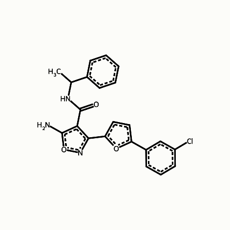 CC(NC(=O)c1c(-c2ccc(-c3cccc(Cl)c3)o2)noc1N)c1ccccc1